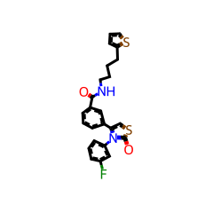 O=C(NCCCCc1cccs1)c1cccc(-c2csc(=O)n2-c2cccc(F)c2)c1